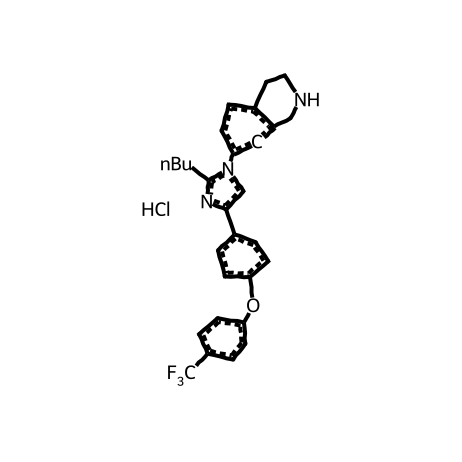 CCCCc1nc(-c2ccc(Oc3ccc(C(F)(F)F)cc3)cc2)cn1-c1ccc2c(c1)CNCC2.Cl